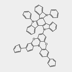 c1ccc(-c2ccc3c(c2)Oc2cc(-n4c5ccccc5c5c6c(c7ccccc7n6-c6ccccc6)c6c(c7ccccc7n6-c6ccccc6)c54)cc4c2B3c2ccc(-c3ccccc3)cc2O4)cc1